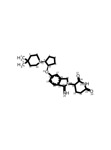 CC1(C)CCN([C@H]2CCC[C@H]2Oc2ccc3c(c2)CN(C2CCC(=O)NC2=O)C3=N)CC1